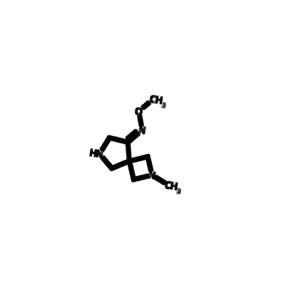 CON=C1CNCC12CN(C)C2